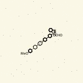 COc1ccc([C@H]2CC[C@@H](N3CCN(c4ccc(-c5ccc([N+]6(OC=O)N=Nc7ccccc76)cc5)cc4)CC3)CC2)cc1